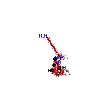 CC(=O)O[C@H]1C(=O)[C@@]2(C)[C@H]([C@H](OC(=O)c3ccccc3)[C@]3(O)C[C@H](OC(=O)[C@H](OC(=O)CSCC(NC(=O)CCOCCOCCOCCOCCOCCOCCN)C(N)=O)[C@@H](NC(=O)c4ccccc4)c4ccccc4)C(C)=C1C3(C)C)[C@]1(OC(C)=O)CO[C@@H]1C[C@@H]2O